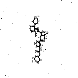 CN1CCN(c2cncc3[nH]c(-c4n[nH]c5cnc(-c6cncc(NC(=O)CC7CCNCC7)c6)cc45)cc23)CC1